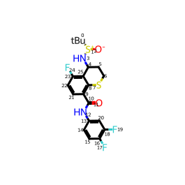 CC(C)(C)[S+]([O-])NC1CCSc2c(C(=O)Nc3ccc(F)c(F)c3)ccc(F)c21